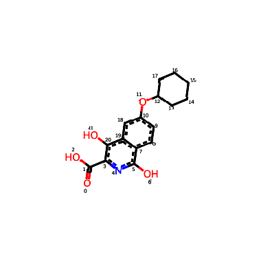 O=C(O)c1nc(O)c2ccc(OC3CCCCC3)cc2c1O